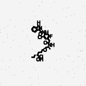 CCC[C@H](CCCOC[C@H](C)NC(=O)Cc1cc(Cl)c(NC(=O)c2n[nH]c3ccccc23)cc1F)C(=O)O